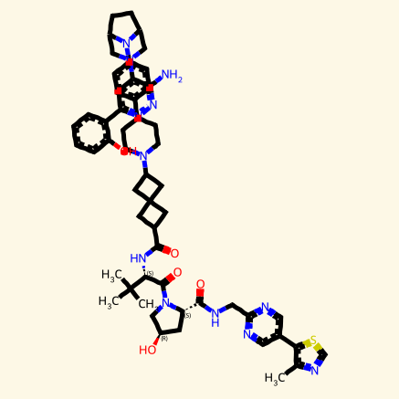 Cc1ncsc1-c1cnc(CNC(=O)[C@@H]2C[C@@H](O)CN2C(=O)[C@@H](NC(=O)C2CC3(C2)CC(N2CCC(c4ccc(N5C6CCC5CN(c5cc(-c7ccccc7O)nnc5N)C6)cc4)CC2)C3)C(C)(C)C)nc1